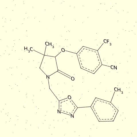 Cc1cccc(-c2nnc(CN3CC(C)(C)C(Oc4ccc(C#N)c(C(F)(F)F)c4)C3=O)o2)c1